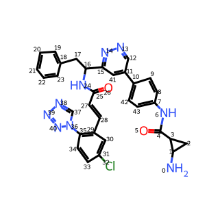 NC1CC1C(=O)Nc1ccc(-c2cnnc(C(Cc3ccccc3)NC(=O)/C=C/c3cc(Cl)ccc3-n3cnnn3)c2)cc1